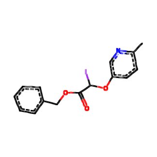 Cc1ccc(OC(I)C(=O)OCc2ccccc2)cn1